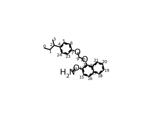 CCC(C)c1ccc(OCOc2c(ON)ccc3ccccc23)cc1